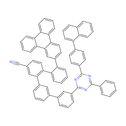 N#Cc1ccc(-c2ccccc2-c2ccc3c4ccccc4c4ccccc4c3c2)c(-c2cccc(-c3cccc(-c4nc(-c5ccccc5)nc(-c5ccc(-c6cccc7ccccc67)cc5)n4)c3)c2)c1